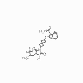 CC(CC1NC(=O)N(C2CC3(CC(Oc4nn5ccccc5c4C(N)=O)C3)C2)C1=O)C(F)(F)F